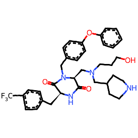 O=C1N[C@@H](Cc2ccc(C(F)(F)F)cc2)C(=O)N(Cc2ccc(Oc3ccccc3)cc2)[C@H]1CN(CCCO)CC1CCNCC1